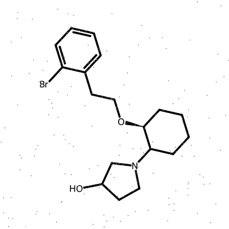 OC1CCN(C2CCCC[C@@H]2OCCc2ccccc2Br)C1